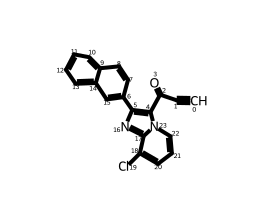 C#CC(=O)c1c(-c2ccc3ccccc3c2)nc2c(Cl)cccn12